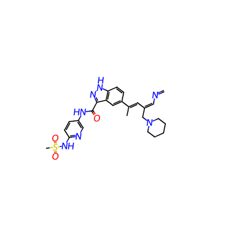 C=N/C=C(\C=C(/C)c1ccc2[nH]nc(C(=O)Nc3ccc(NS(C)(=O)=O)nc3)c2c1)CN1CCCCC1